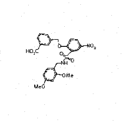 COc1ccc(CNS(=O)(=O)c2cc([N+](=O)[O-])ccc2OCc2cccc(C(=O)O)c2)c(OC)c1